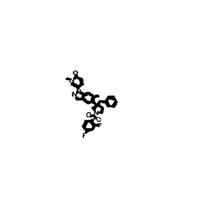 Cc1cc2c(cnn2-c2ccc(=O)n(C)c2)cc1C1(Cc2ccccc2)CCN(S(=O)(=O)c2ccc(F)cc2F)C1